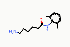 Cc1cccc(C)c1NC(=O)CCCCCN